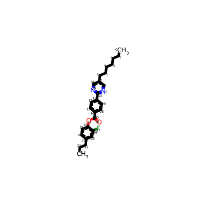 CCCCCCCc1cnc(-c2ccc(C(=O)Oc3ccc(CCC)cc3F)cc2)nc1